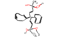 CCO[Si](C)(O)C=C[Si](C=C[Si](C)(OCC)OCC)(c1ccccc1)c1ccccc1